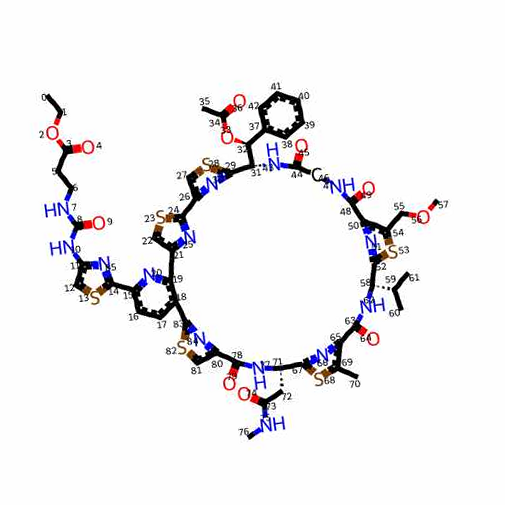 CCOC(=O)CCNC(=O)Nc1csc(-c2ccc3c(n2)-c2csc(n2)-c2csc(n2)[C@H]([C@@H](OC(C)=O)c2ccccc2)NC(=O)CNC(=O)c2nc(sc2COC)[C@H](C(C)C)NC(=O)c2nc(sc2C)[C@H](CC(=O)NC)NC(=O)c2csc-3n2)n1